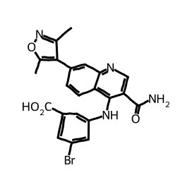 Cc1noc(C)c1-c1ccc2c(Nc3cc(Br)cc(C(=O)O)c3)c(C(N)=O)cnc2c1